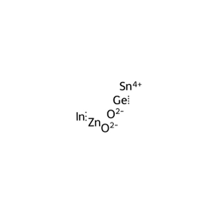 [Ge].[In].[O-2].[O-2].[Sn+4].[Zn]